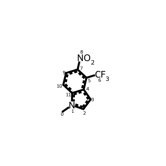 Cn1ccc2c(C(F)(F)F)c([N+](=O)[O-])ccc21